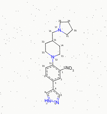 O=[N+]([O-])c1cc(-c2cn[nH]c2)ccc1N1CCC(CN2CCCC2)CC1